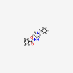 O=C(NC1CCN(Cc2ccccc2)CC1)C(=O)c1ccccc1